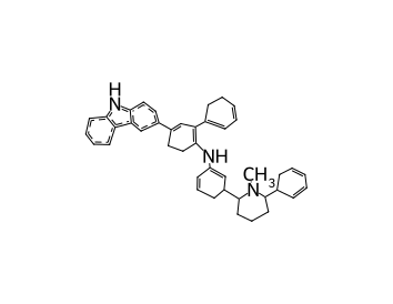 CN1C(C2C=CC=CC2)CCCC1C1C=C(NC2=C(C3=CC=CCC3)C=C(c3ccc4[nH]c5ccccc5c4c3)CC2)C=CC1